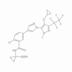 Cn1nc(C(F)(F)C(F)(F)F)c(OC2CC2)c1-n1cc(-c2ccc(Cl)c(C(=O)NC3(C#N)CC3)c2)cn1